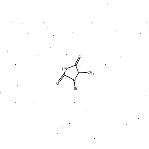 CC1C(=O)NC(=O)N1Br